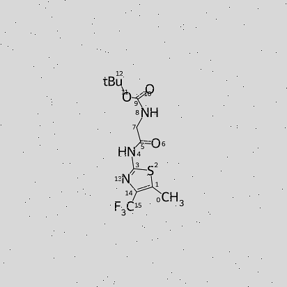 Cc1sc(NC(=O)CNC(=O)OC(C)(C)C)nc1C(F)(F)F